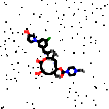 C/C(=C\c1cc(F)cc(N2CC[C@@H](O)C2)c1)[C@H]1OC(=O)C[C@H](O)CC[C@H](C)C(OC(=O)N2CCN(C)CC2)/C=C/[C@@H]1C